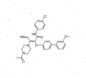 COc1cccc(-c2ccc(O/C(C(=O)Nc3ccc(Cl)cc3)=C(/C=N)N3CCN(C(C)=O)CC3)cc2)c1